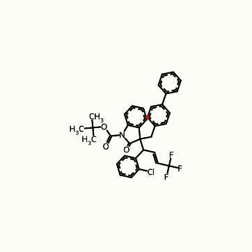 CC(C)(C)OC(=O)N1C(=O)C(Cc2ccc(-c3ccccc3)cc2)(C(/C=C/C(F)(F)F)c2ccccc2Cl)c2ccccc21